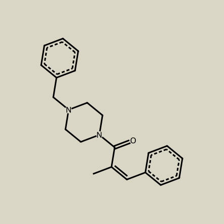 CC(=Cc1ccccc1)C(=O)N1CCN(Cc2ccccc2)CC1